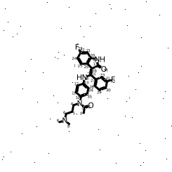 CC(=O)N(CCCN(C)C)c1ccc(NC(=C2C(=O)Nc3cc(F)ccc32)c2cccc(F)c2)cc1